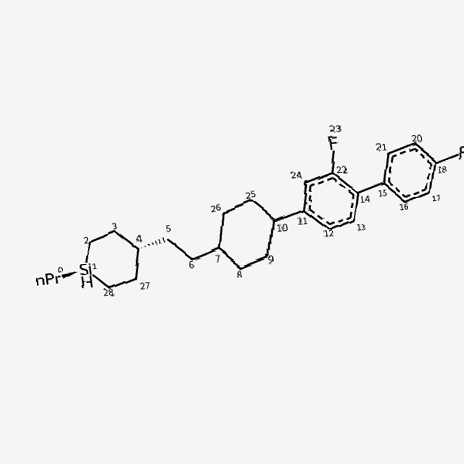 CCC[Si@H]1CC[C@H](CCC2CCC(c3ccc(-c4ccc(F)cc4)c(F)c3)CC2)CC1